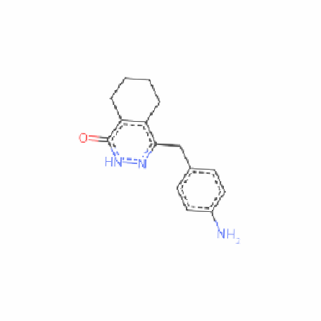 Nc1ccc(Cc2n[nH]c(=O)c3c2CCCC3)cc1